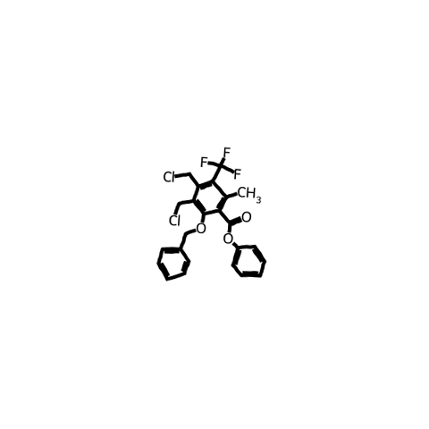 Cc1c(C(=O)Oc2ccccc2)c(OCc2ccccc2)c(CCl)c(CCl)c1C(F)(F)F